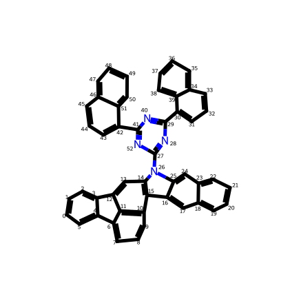 c1ccc2c(c1)-c1cccc3c1c-2cc1c3c2cc3ccccc3cc2n1-c1nc(-c2cccc3ccccc23)nc(-c2cccc3ccccc23)n1